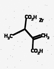 C=C(C(=O)O)C(C)C(=O)O.[Zr]